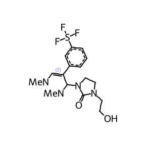 CN/C=C(/c1cccc(S(F)(F)F)c1)C(NC)N1CCN(CCO)C1=O